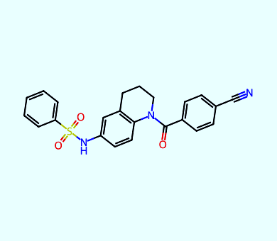 N#Cc1ccc(C(=O)N2CCCc3cc(NS(=O)(=O)c4ccccc4)ccc32)cc1